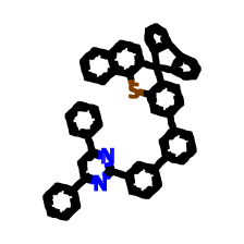 c1ccc(-c2cc(-c3ccccc3)nc(-c3cccc(-c4cccc(-c5ccc6c(c5)Sc5c(ccc7ccccc57)C65c6ccccc6-c6ccccc65)c4)c3)n2)cc1